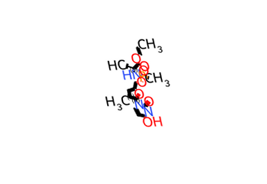 C#C[C@H](NP(C)(=O)OCC1C[C@H](C)[C@H](n2ccc(O)nc2=O)O1)C(=O)OCCC